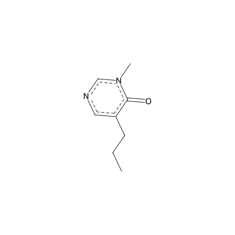 CCCc1cncn(C)c1=O